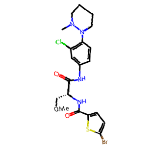 COC[C@@H](NC(=O)c1ccc(Br)s1)C(=O)Nc1ccc(N2CCCCN2C)c(Cl)c1